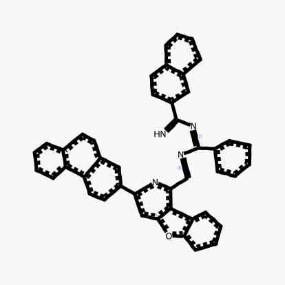 N=C(/N=C(\N=C\c1nc(-c2ccc3c(ccc4ccccc43)c2)cc2oc3ccccc3c12)c1ccccc1)c1ccc2ccccc2c1